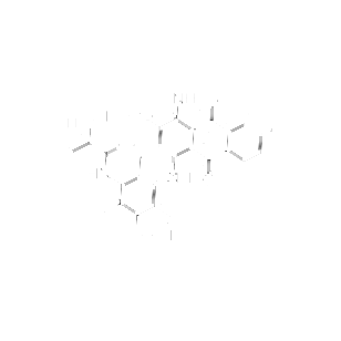 BC(=C)C(=O)Nc1c(C)c(Nc2cc(S(=O)(=O)O)c(N)c3c2C(=O)c2ccccc2C3=O)c(C)c(S(=O)(=O)O)c1C